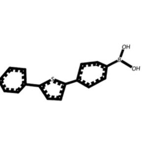 OB(O)c1ccc(-c2ccc(-c3ccccc3)s2)cc1